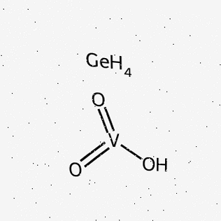 [GeH4].[O]=[V](=[O])[OH]